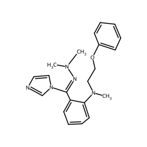 CN(C)N=C(c1ccccc1N(C)CCOc1ccccc1)n1ccnc1